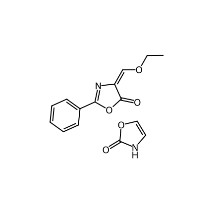 CCOC=C1N=C(c2ccccc2)OC1=O.O=c1[nH]cco1